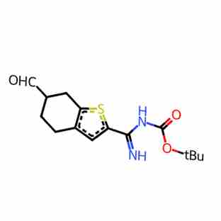 CC(C)(C)OC(=O)NC(=N)c1cc2c(s1)CC(C=O)CC2